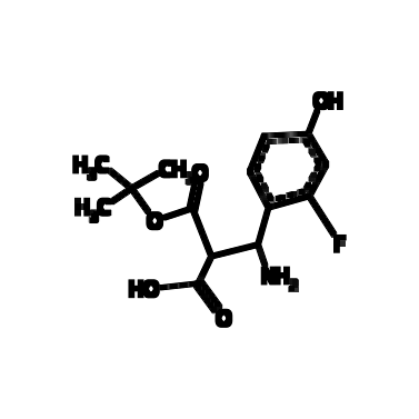 CC(C)(C)OC(=O)C(C(=O)O)C(N)c1ccc(O)cc1F